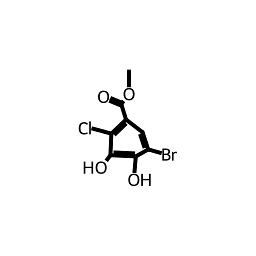 COC(=O)c1cc(Br)c(O)c(O)c1Cl